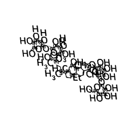 CC[C@@]12CCC([C@H](C)CC[C@@H](O[C@@H]3O[C@H](CO[C@@H]4O[C@H](CO)[C@@H](O)[C@H](O)[C@H]4O)[C@@H](O)[C@H](O)[C@H]3O)C(C)(C)O)[C@@]1(C)C[C@@H](O)[C@@]1(C)C3CC[C@H](O[C@@H]4O[C@H](CO[C@@H]5O[C@H](CO)[C@@H](O)[C@H](O)[C@H]5O)[C@@H](O)[C@H](O)[C@H]4O)C(C)(C)C3=CCC12